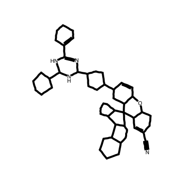 N#CC1=CC2C(CC1)OC1C=CC(C3CCC(C4N=C(C5=CCCCC5)NC(C5CCCCC5)N4)CC3)CC1C21C2CCCCC2C2C3CCCCC3CCC21